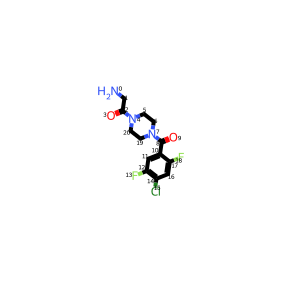 NCC(=O)N1CCN(C(=O)c2cc(F)c(Cl)cc2F)CC1